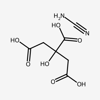 N#CN.O=C(O)CC(O)(CC(=O)O)C(=O)O